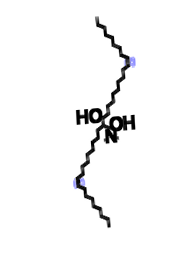 CCCCCCCC/C=C\CCCCCCCCC(O)C(CCCCCCCC/C=C\CCCCCCCC)C(O)N(C)C